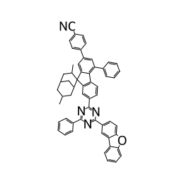 CC1CC2CC(C)C3(c4cc(-c5nc(-c6ccccc6)nc(-c6ccc7oc8ccccc8c7c6)n5)ccc4-c4c(-c5ccccc5)cc(-c5ccc(C#N)cc5)cc43)C(C1)C2